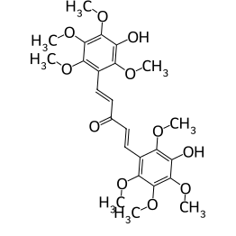 COc1c(O)c(OC)c(OC)c(OC)c1/C=C/C(=O)/C=C/c1c(OC)c(O)c(OC)c(OC)c1OC